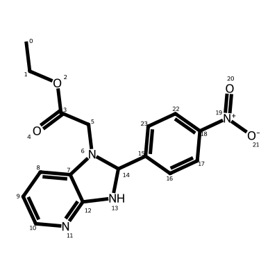 CCOC(=O)CN1c2cccnc2NC1c1ccc([N+](=O)[O-])cc1